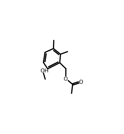 CC(=O)OCc1cccc(C)c1C.CO